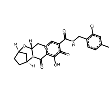 Cc1ccc(CNC(=O)c2cn3c(c(O)c2=O)C(=O)N2[C@H]4CC[C@H](C4)O[C@@H]2C3)c(Cl)c1